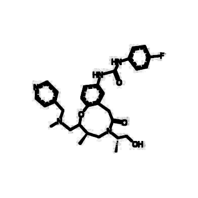 C[C@@H]1CN([C@@H](C)CO)C(=O)Cc2cc(NC(=O)Nc3ccc(F)cc3)ccc2OC1CN(C)Cc1ccncc1